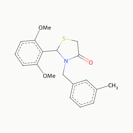 COc1cccc(OC)c1C1SCC(=O)N1Cc1cccc(C)c1